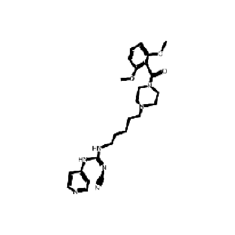 COc1cccc(OC)c1C(=O)N1CCN(CCCCCNC(=NC#N)Nc2ccncc2)CC1